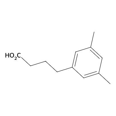 Cc1cc(C)cc(CCCC(=O)O)c1